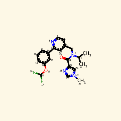 CC(C)N(Cc1ccnc(-c2cccc(OC(F)F)c2)c1)C(=O)c1cn(C)cn1